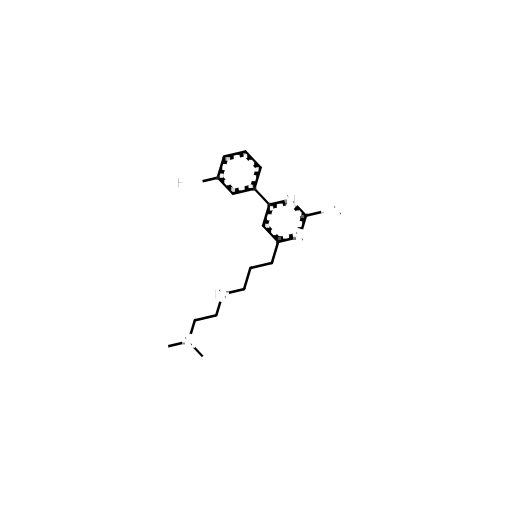 CN(C)CCNCCCc1cc(-c2cccc(C(F)(F)F)c2)nc(C#N)n1